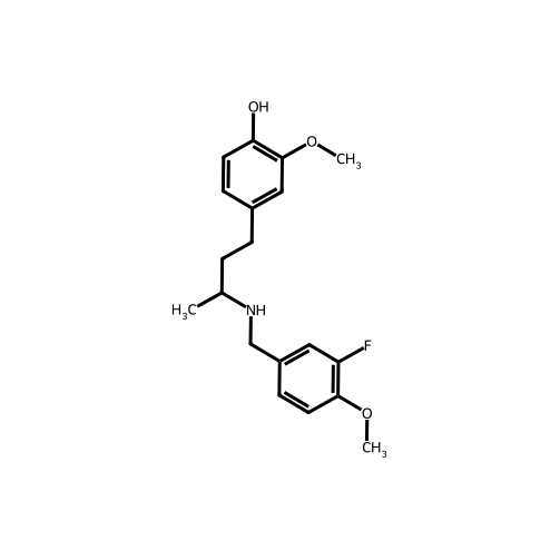 COc1cc(CCC(C)NCc2ccc(OC)c(F)c2)ccc1O